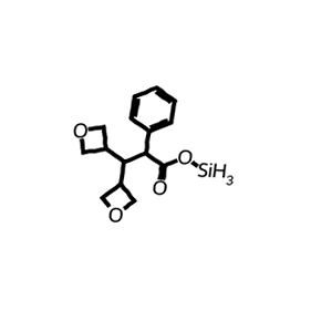 O=C(O[SiH3])C(c1ccccc1)C(C1COC1)C1COC1